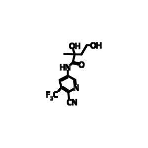 CC(O)(CCO)C(=O)Nc1cnc(C#N)c(C(F)(F)F)c1